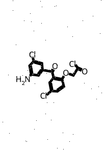 Nc1cc(Cl)cc(C(=O)c2cc(Cl)ccc2OCC(=O)Cl)c1